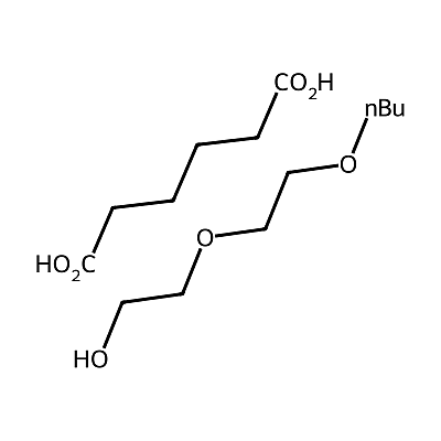 CCCCOCCOCCO.O=C(O)CCCCC(=O)O